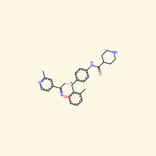 Cc1cc(/C(C[C@H](c2ccc(NC(=O)C3CCNCC3)cc2)c2ccccc2C)=N/O)ccn1